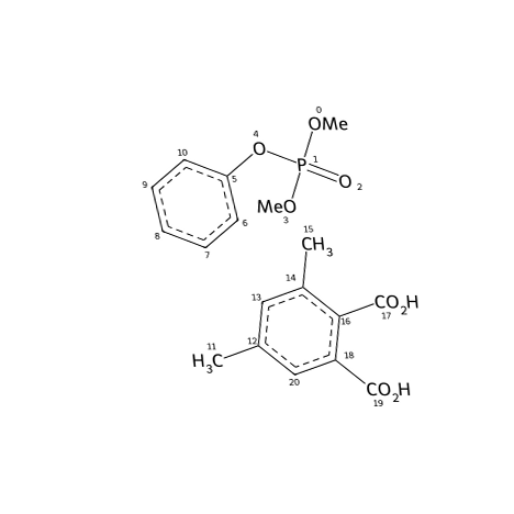 COP(=O)(OC)Oc1ccccc1.Cc1cc(C)c(C(=O)O)c(C(=O)O)c1